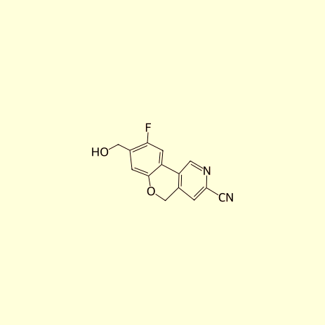 N#Cc1cc2c(cn1)-c1cc(F)c(CO)cc1OC2